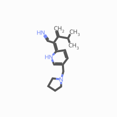 C=C(/C(C=N)=C1\C=CC(CN2CCCC2)=CN1)C(C)C